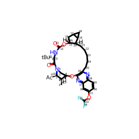 CC(=O)[C@@H]1[C@H](C)[C@@H]2CN1C(=O)[C@H](C(C)(C)C)NC(=O)O[C@@H]1CC3CC3[C@H]1CCCCCc1nc3ccc(OC(F)F)cc3nc1O2